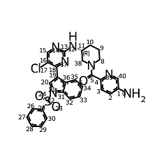 Nc1ccc(C(=O)N2CCC[C@@H](Nc3ncc(Cl)c(-c4cn(S(=O)(=O)c5ccccc5)c5ccccc45)n3)C2)nc1